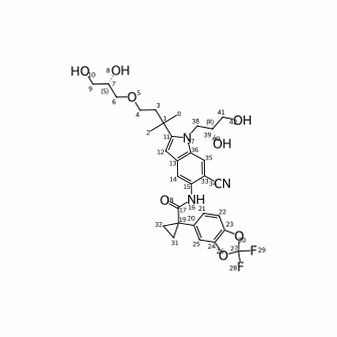 CC(C)(CCOC[C@@H](O)CO)c1cc2cc(NC(=O)C3(c4ccc5c(c4)OC(F)(F)O5)CC3)c(C#N)cc2n1C[C@@H](O)CO